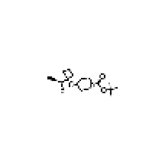 C#CC(Br)C1(OC2CCN(C(=O)OC(C)(C)C)CC2)CCC1